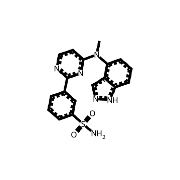 CN(c1ccnc(-c2cccc(S(N)(=O)=O)c2)n1)c1cccc2[nH]ncc12